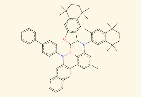 Cc1cc2c3c(c1)N(c1cc4c(cc1C)C(C)(C)CCC4(C)C)C1c4cc5c(cc4OC1B3N(c1ccc(-c3ccccc3)cc1)c1cc3ccccc3cc1-2)C(C)(C)CCC5(C)C